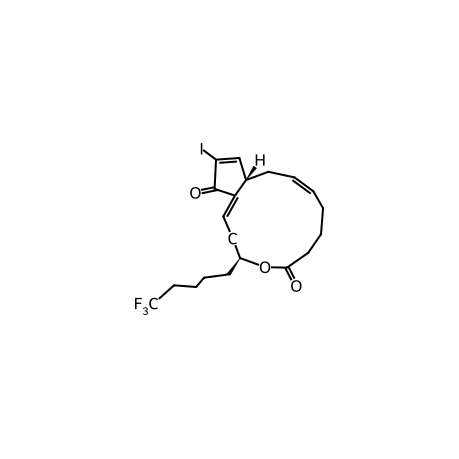 O=C1CCC/C=C\C[C@H]2C=C(I)C(=O)/C2=C/C[C@H](CCCCC(F)(F)F)O1